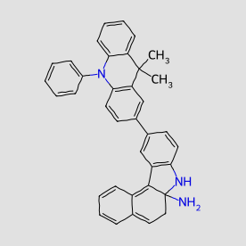 CC1(C)c2ccccc2N(c2ccccc2)c2ccc(-c3ccc4c(c3)C3=c5ccccc5=CCC3(N)N4)cc21